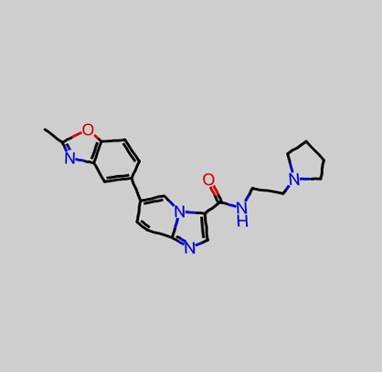 Cc1nc2cc(-c3ccc4ncc(C(=O)NCCN5CCCC5)n4c3)ccc2o1